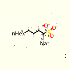 CCCCCCCCCC(I)S(=O)(=O)[O-].[Na+]